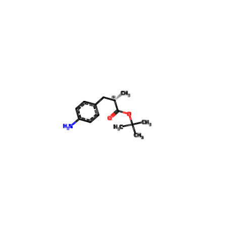 C[C@@H](Cc1ccc(N)cc1)C(=O)OC(C)(C)C